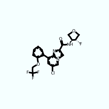 O=C(N[C@H]1COC[C@@H]1F)c1cn2cc(Cl)cc(-c3ccccc3OCC(F)(F)F)c2n1